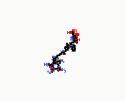 NC(=O)CN1CCN(CC(N)=O)CCN(CC(N)=O)C(Cc2ccc(NC(=S)CCCCCC(=O)NCc3ccc(C(=O)N(CCCC[C@@H](NC(=O)N[C@H](CCC(O)O)C(=O)O)C(=O)O)Cc4nccc5ccccc45)cc3)cc2)CN(CC(N)=O)CC1